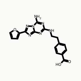 Nc1nc(NCCc2ccc(C(=O)O)cc2)nc2nc(-c3ccco3)nn12